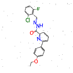 CCOc1ccc(-c2cccc(C(=O)NN=Cc3c(F)cccc3Cl)n2)cc1